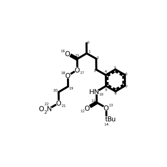 CC(CCc1ccccc1NC(=O)OC(C)(C)C)C(=O)OOCCO[N+](=O)[O-]